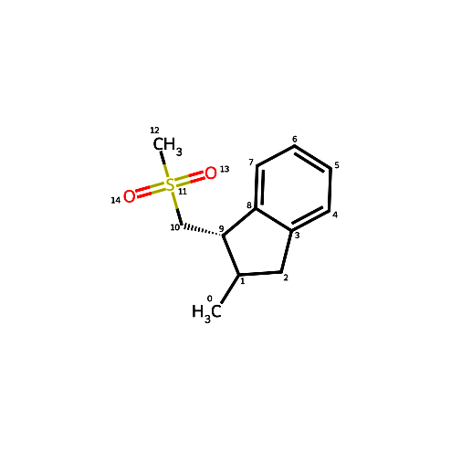 CC1Cc2ccccc2[C@H]1CS(C)(=O)=O